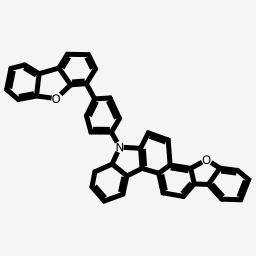 C1=CCC2C(=C1)c1c(ccc3c1ccc1c4ccccc4oc31)N2c1ccc(-c2cccc3c2oc2ccccc23)cc1